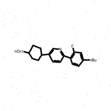 CCCCCCCCC1CCC(c2ccc(-c3ccc(CCCC)cc3F)nc2)CC1